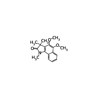 COc1c2c(c3ccccc3c1OC)N(C)C(=O)C2(C)C